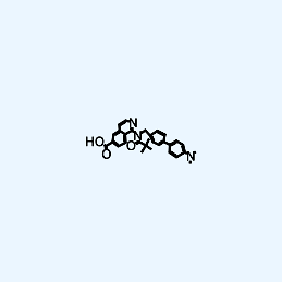 CN(C)c1ccc(-c2ccc(CN(C(=O)C(C)(C)C)c3nccc4cc(C(=O)O)ccc34)cc2)cc1